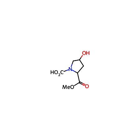 COC(=O)C1CC(O)CN1C(=O)O